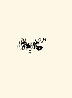 [2H]c1cn([C@@H]2O[C@H](COP(=O)(N[C@@H](C)C(=O)O)Oc3ccccc3)[C@@H](O)[C@@]2(C)O)c(=O)[nH]c1=O